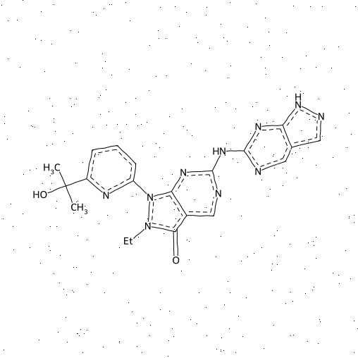 CCn1c(=O)c2cnc(Nc3ncc4cn[nH]c4n3)nc2n1-c1cccc(C(C)(C)O)n1